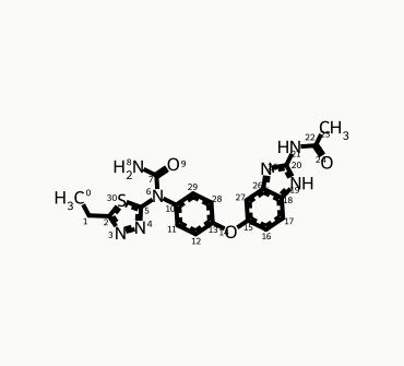 CCc1nnc(N(C(N)=O)c2ccc(Oc3ccc4[nH]c(NC(C)=O)nc4c3)cc2)s1